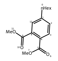 [CH2]CCCCCc1ccc(C(=O)OC)c(C(=O)OC)c1